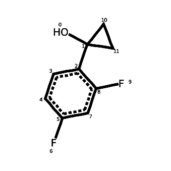 OC1(c2ccc(F)cc2F)CC1